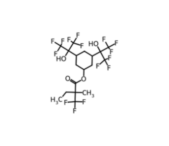 CCC(C)(C(=O)OC1CC(C(O)(C(F)(F)F)C(F)(F)F)CC(C(O)(C(F)(F)F)C(F)(F)F)C1)C(F)(F)F